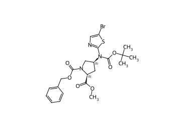 COC(=O)[C@@H]1C[C@H](N(C(=O)OC(C)(C)C)c2ncc(Br)s2)CN1C(=O)OCc1ccccc1